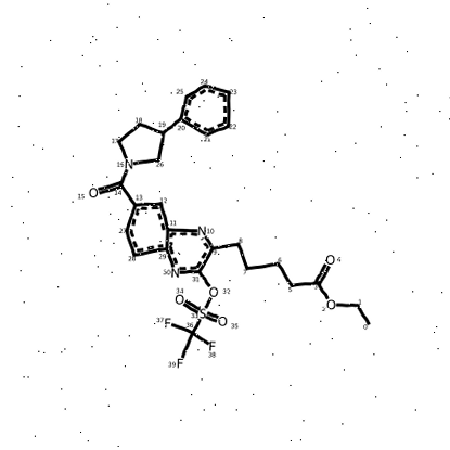 CCOC(=O)CCCCc1nc2cc(C(=O)N3CCC(c4ccccc4)C3)ccc2nc1OS(=O)(=O)C(F)(F)F